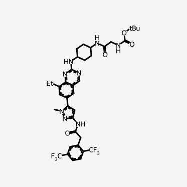 CCc1cc(-c2cc(NC(=O)Cc3cc(C(F)(F)F)ccc3C(F)(F)F)nn2C)cc2cnc(NC3CCC(NC(=O)CNC(=O)OC(C)(C)C)CC3)nc12